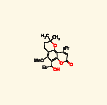 CCCc1cc(=O)oc2c(C(O)CC)c(OC)c3c(c12)OC(C)(C)CC3